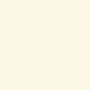 COC(=O)Cn1c(-c2ccccc2C=O)c(C2CCCCC2F)c2sc(C(=O)OC)cc21